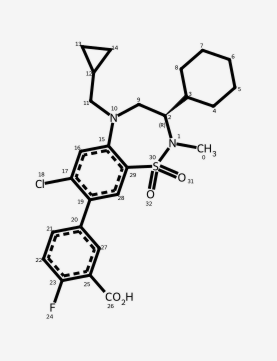 CN1[C@H](C2CCCCC2)CN(CC2CC2)c2cc(Cl)c(-c3ccc(F)c(C(=O)O)c3)cc2S1(=O)=O